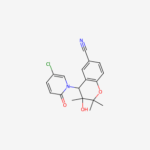 CC1(C)Oc2ccc(C#N)cc2C(n2cc(Cl)ccc2=O)C1(C)O